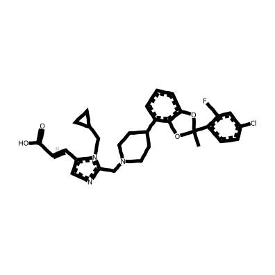 CC1(c2ccc(Cl)cc2F)Oc2cccc(C3CCN(Cc4ncc(/C=C/C(=O)O)n4CC4CC4)CC3)c2O1